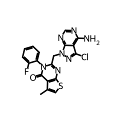 Cc1csc2nc(Cn3nc(Cl)c4c(N)ncnc43)n(-c3ccccc3F)c(=O)c12